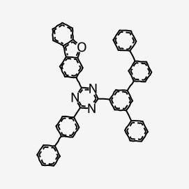 c1ccc(-c2ccc(-c3nc(-c4cc(-c5ccccc5)cc(-c5cccc(-c6ccccc6)c5)c4)nc(-c4ccc5c(c4)oc4ccccc45)n3)cc2)cc1